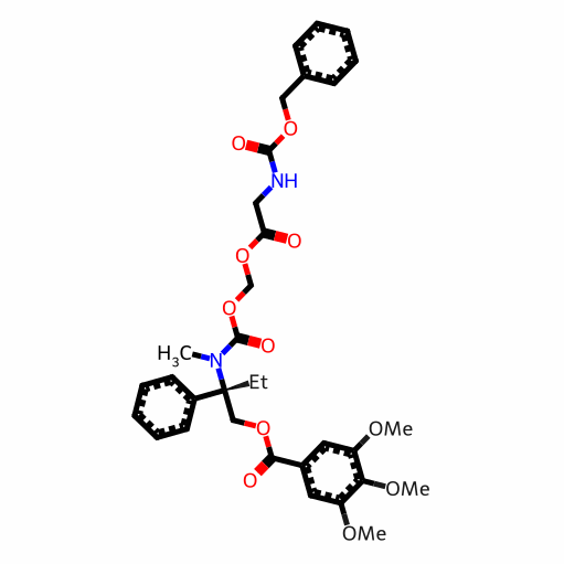 CC[C@@](COC(=O)c1cc(OC)c(OC)c(OC)c1)(c1ccccc1)N(C)C(=O)OCOC(=O)CNC(=O)OCc1ccccc1